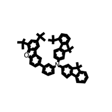 CC(C)(C)c1cc(C(C)(C)C)c2oc3ccc(-c4cccc(N(c5ccc6c(c5)C(C)(C)c5ccccc5-6)c5ccc6c(c5)C(C)(C)c5cccc(C(C)(C)C)c5-6)c4)cc3c2c1